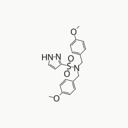 COc1ccc(CN(Cc2ccc(OC)cc2)S(=O)(=O)c2cc[nH]n2)cc1